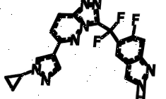 Fc1cc2n[nH]cc2cc1C(F)(F)c1nnc2ccc(-c3cnn(C4CC4)c3)nn12